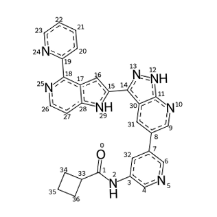 O=C(Nc1cncc(-c2cnc3[nH]nc(-c4cc5c(-c6ccccn6)nccc5[nH]4)c3c2)c1)C1CCC1